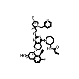 C#Cc1c(F)ccc2c1[C@H](N1CCc3c(nc(OC[C@]4(C)C[C@@H](F)CN4Cc4cccnc4)nc3N3CCCCC(NC(=O)C=C)C3)C1)C[C@H](O)C2